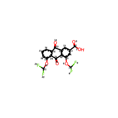 O=C(O)c1cc(OC(F)F)c2c(c1)C(=O)c1cccc(OC(F)F)c1C2=O